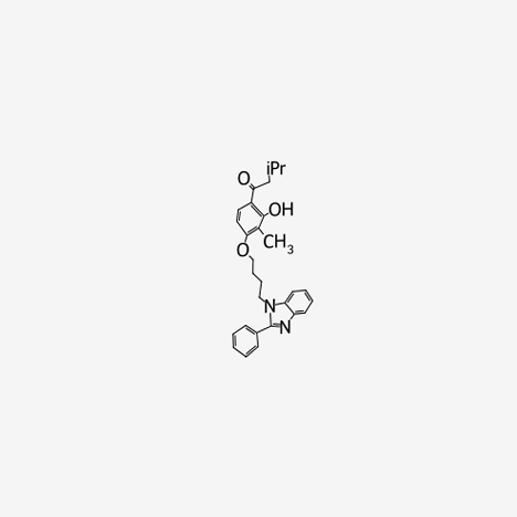 Cc1c(OCCCCn2c(-c3ccccc3)nc3ccccc32)ccc(C(=O)CC(C)C)c1O